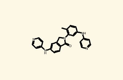 Cc1ccc(Nc2ccncc2)cc1N1Cc2cc(Nc3ccncc3)ccc2C1=O